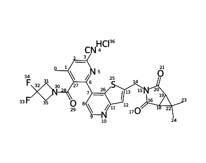 Cc1cc(C#N)nc(-c2ccnc3cc(CN4C(=O)C5C(C4=O)C5(C)C)sc23)c1C(=O)N1CC(F)(F)C1.Cl